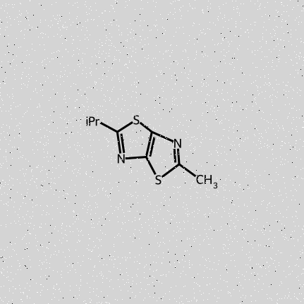 Cc1nc2sc(C(C)C)nc2s1